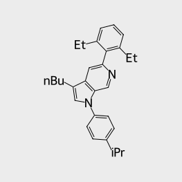 CCCCc1cn(-c2ccc(C(C)C)cc2)c2cnc(-c3c(CC)cccc3CC)cc12